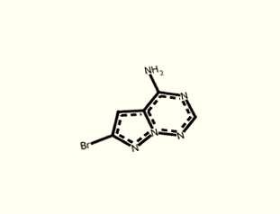 Nc1ncnn2nc(Br)cc12